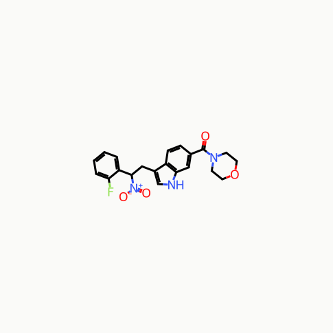 O=C(c1ccc2c(CC(c3ccccc3F)[N+](=O)[O-])c[nH]c2c1)N1CCOCC1